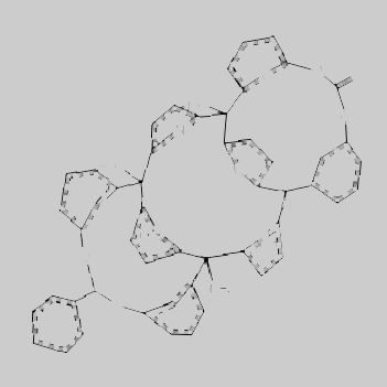 CC12c3cccc(c3)OC(=O)Oc3cccc(c3)C(C)(c3ccc1[nH]3)c1ccc([nH]1)C1(C)c3cccc(c3)OC(c3ccccc3)Oc3cccc(c3)C(C)(c3ccc2[nH]3)c2ccc1[nH]2